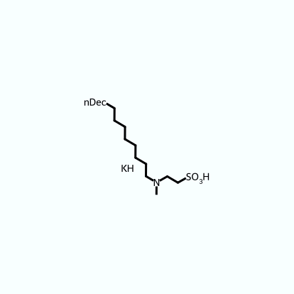 CCCCCCCCCCCCCCCCCCN(C)CCS(=O)(=O)O.[KH]